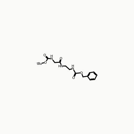 CC(C)(C)OC(=O)NCC(=O)NCCNC(=O)OCc1ccccc1